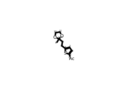 CC(=O)c1ccc(CCC2(C)OCCO2)s1